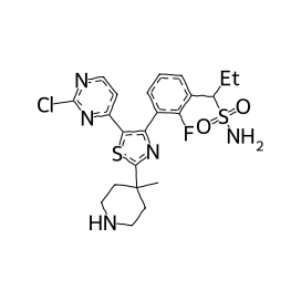 CCC(c1cccc(-c2nc(C3(C)CCNCC3)sc2-c2ccnc(Cl)n2)c1F)S(N)(=O)=O